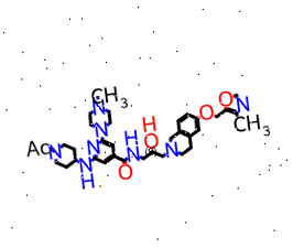 CC(=O)N1CCC(Nc2cc(C(=O)NC[C@H](O)CN3CCc4cc(OCc5ocnc5C)ccc4C3)cc(N3CCN(C)CC3)n2)CC1